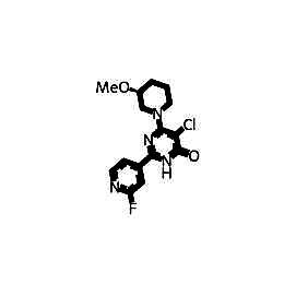 CO[C@H]1CCCN(c2nc(-c3ccnc(F)c3)[nH]c(=O)c2Cl)C1